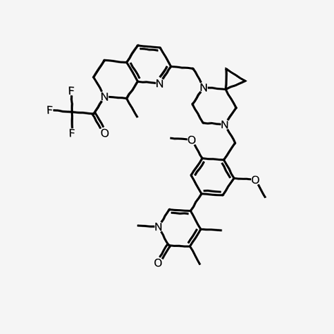 COc1cc(-c2cn(C)c(=O)c(C)c2C)cc(OC)c1CN1CCN(Cc2ccc3c(n2)C(C)N(C(=O)C(F)(F)F)CC3)C2(CC2)C1